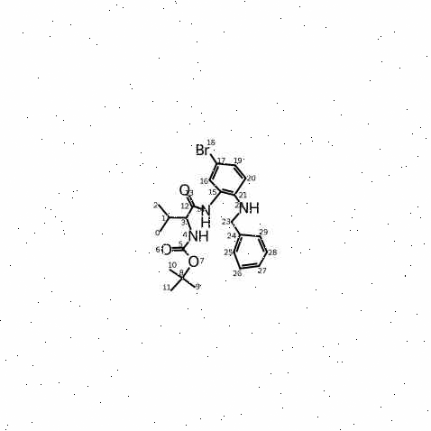 CC(C)C(NC(=O)OC(C)(C)C)C(=O)Nc1cc(Br)ccc1NCc1ccccc1